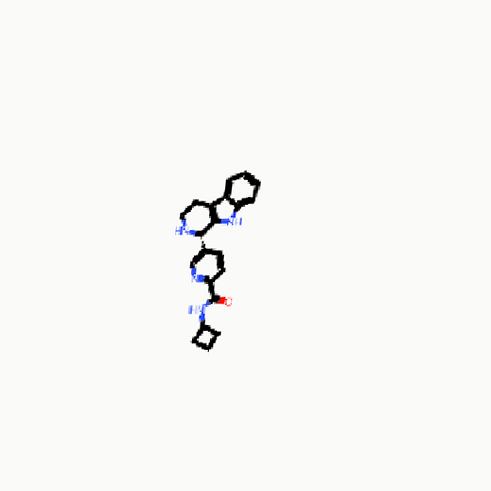 O=C(NC1CCC1)c1ccc([C@@H]2NCCc3c2[nH]c2ccccc32)cn1